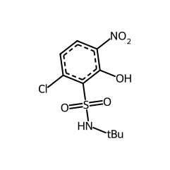 CC(C)(C)NS(=O)(=O)c1c(Cl)ccc([N+](=O)[O-])c1O